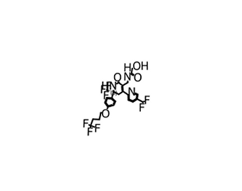 O=C(CO)NCC1=C(c2ccc(C(F)F)cn2)C[C@](c2ccc(OCCCC(F)(F)F)cc2)(C(F)(F)F)NC1=O